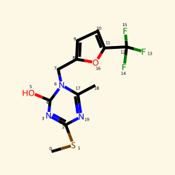 CSC1=NC(O)N(Cc2ccc(C(F)(F)F)o2)C(C)=N1